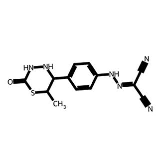 CC1SC(=O)NNC1c1ccc(NN=C(C#N)C#N)cc1